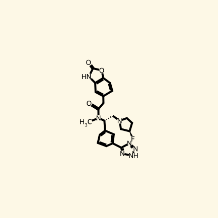 CN(C(=O)Cc1ccc2oc(=O)[nH]c2c1)[C@H](CN1CC[C@@H](F)C1)c1cccc(-c2nn[nH]n2)c1